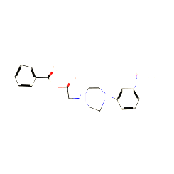 O=C(CN1CCN(c2cccc([N+](=O)[O-])c2)CC1)OC(=O)c1ccccc1